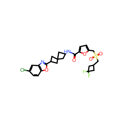 O=C(NC1CC2(C1)CC(c1nc3cc(Cl)ccc3o1)C2)c1ccc(CS(=O)(=O)CC2CC(F)(F)C2)o1